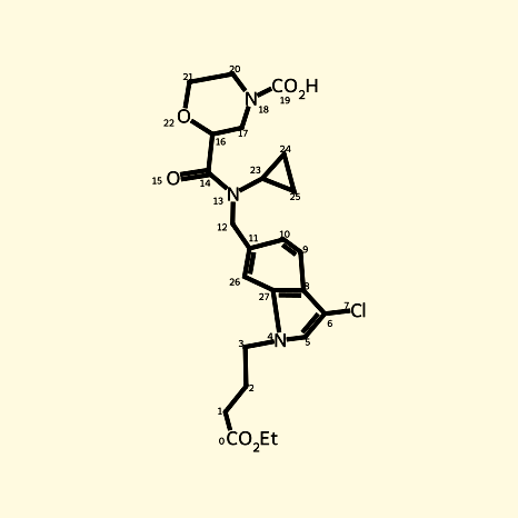 CCOC(=O)CCCn1cc(Cl)c2ccc(CN(C(=O)C3CN(C(=O)O)CCO3)C3CC3)cc21